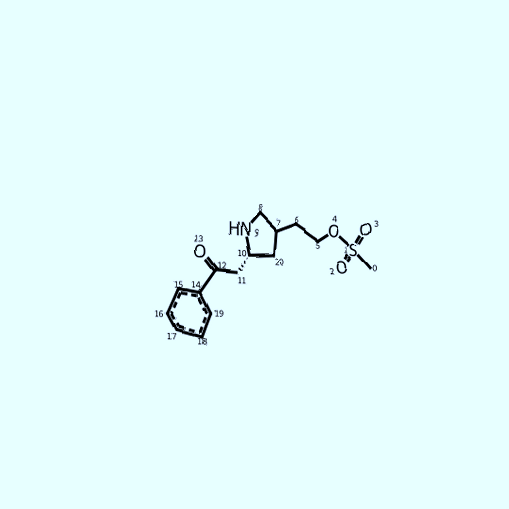 CS(=O)(=O)OCCC1CN[C@@H](CC(=O)c2ccccc2)C1